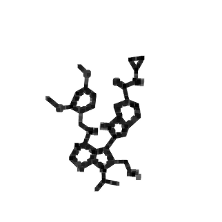 COc1ccc(CNc2ncnc3c2c(-c2cc4ccc(C(=O)NC5CC5)cc4[nH]2)c(CN)n3C(C)C)c(OC)c1